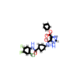 O=C(Oc1ccccc1)c1nc[nH]c1C(=O)NC1CCC(C(=O)Nc2cc(F)c(F)cc2Cl)CC1